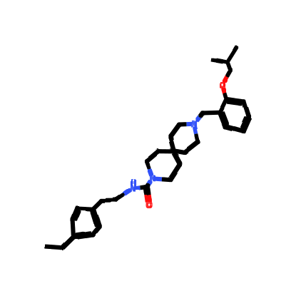 CCc1ccc(CCNC(=O)N2CCC3(CCN(Cc4ccccc4OCC(C)C)CC3)CC2)cc1